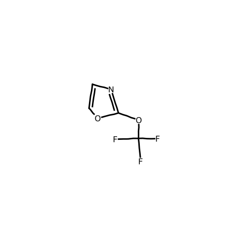 FC(F)(F)Oc1ncco1